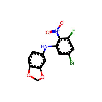 O=[N+]([O-])c1c(F)cc(Br)cc1Nc1ccc2c(c1)OCO2